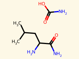 CC(C)CC(N)C(N)=O.NC(=O)O